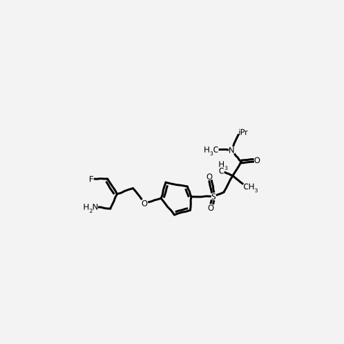 CC(C)N(C)C(=O)C(C)(C)CS(=O)(=O)c1ccc(OCC(=CF)CN)cc1